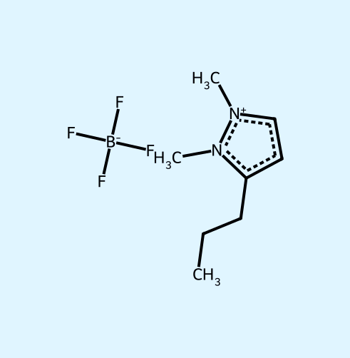 CCCc1cc[n+](C)n1C.F[B-](F)(F)F